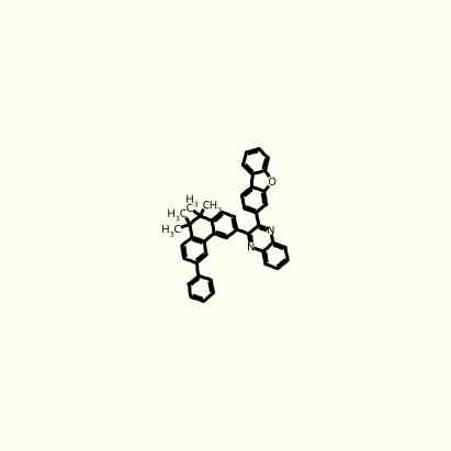 CC1(C)c2ccc(-c3ccccc3)cc2-c2cc(-c3nc4ccccc4nc3-c3ccc4c(c3)oc3ccccc34)ccc2C1(C)C